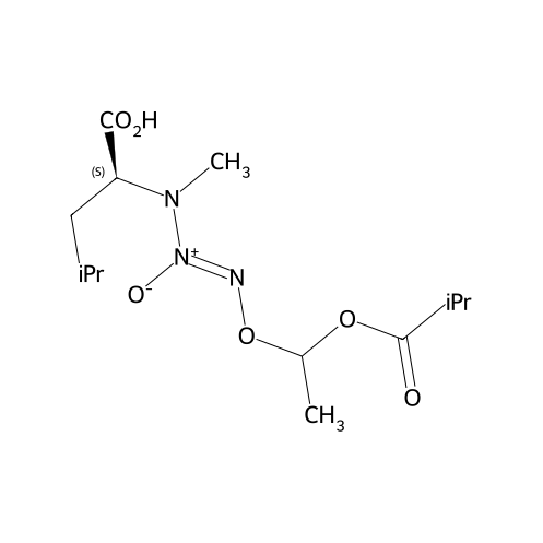 CC(C)C[C@@H](C(=O)O)N(C)[N+]([O-])=NOC(C)OC(=O)C(C)C